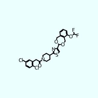 O=C(Cc1cc(Cl)ccc1Cl)N1CCC(c2nc(C3OCc4cccc(OC(F)F)c4CO3)cs2)CC1